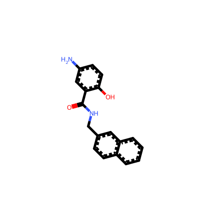 Nc1ccc(O)c(C(=O)NCc2ccc3ccccc3c2)c1